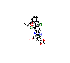 CS(=O)(=O)c1ccc(C(CO)c2nc3c(Cl)c(-c4ccccc4OC(F)(F)F)c(Cl)cc3[nH]2)c(Cl)c1